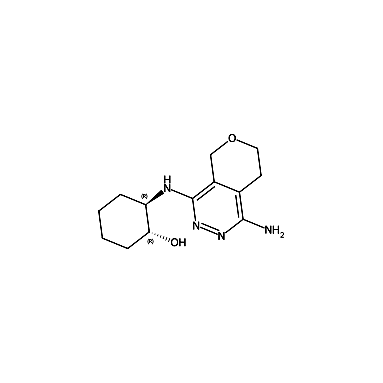 Nc1nnc(N[C@@H]2CCCC[C@H]2O)c2c1CCOC2